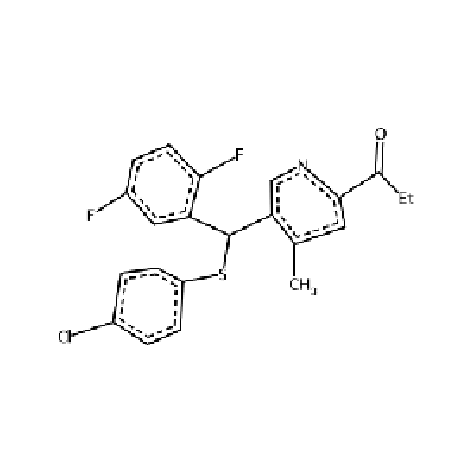 CCC(=O)c1cc(C)c(C(Sc2ccc(Cl)cc2)c2cc(F)ccc2F)cn1